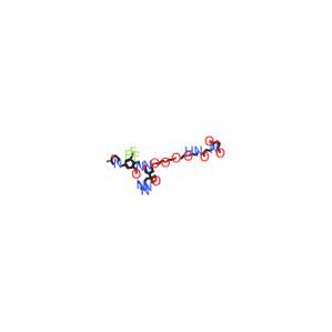 C[C@H]1CCCN(Cc2cc3c(c(C(F)(F)F)c2)CN(c2cc(C4(Cc5nncn5C)COC4)cc(OCCOCCOCCOCCNC(=O)CCN4C(=O)C=CC4=O)n2)C3=O)C1